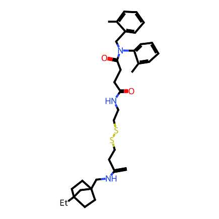 C=C(CCSSCCNC(=O)CCC(=O)N(Cc1ccccc1C)c1ccccc1C)NCC12CCC(CC)(CC1)C2